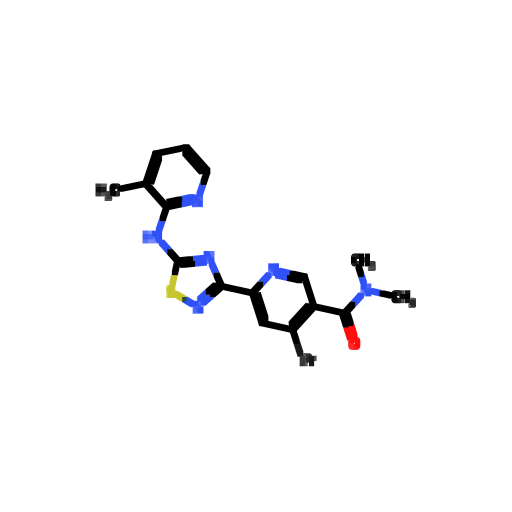 Cc1cccnc1Nc1nc(-c2cc(C(C)C)c(C(=O)N(C)C)cn2)ns1